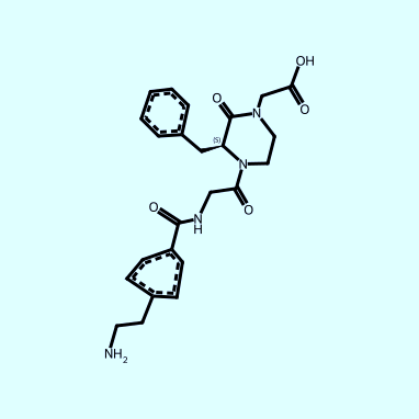 NCCc1ccc(C(=O)NCC(=O)N2CCN(CC(=O)O)C(=O)[C@@H]2Cc2ccccc2)cc1